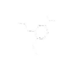 CCCc1cc([N+](=O)[O-])ccc1N=C=S